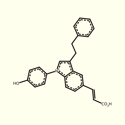 O=C(O)/C=C/c1ccc2c(c1)c(CCc1ccccc1)cn2-c1ccc(O)cc1